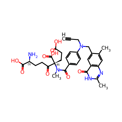 C#CCN(Cc1cc2c(=O)[nH]c(C)nc2cc1C)c1ccc(C(=O)N(C)[C@@](CCC(=O)O)(C(=O)O)C(=O)CC[C@H](N)C(=O)O)cc1